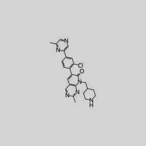 Cc1cncc(-c2ccc(-c3cc4cnc(C)nc4n(CC4CCNCC4)c3=O)c(Cl)c2)n1